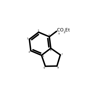 CCOC(=O)c1cccc2c1CCC2